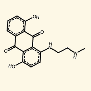 CNCCNc1ccc(O)c2c1C(=O)c1c(O)cccc1C2=O